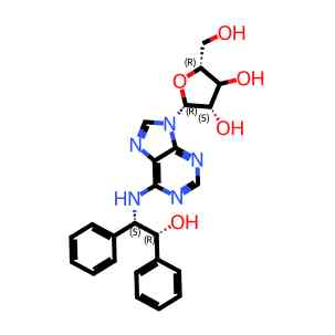 OC[C@H]1O[C@@H](n2cnc3c(N[C@@H](c4ccccc4)[C@H](O)c4ccccc4)ncnc32)[C@@H](O)C1O